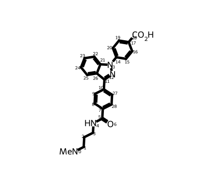 CNCCCNC(=O)c1ccc(-c2nn(-c3ccc(C(=O)O)cc3)c3ccccc23)cc1